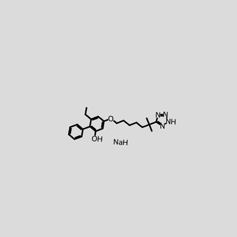 CCc1cc(OCCCCCC(C)(C)c2nn[nH]n2)cc(O)c1-c1ccccc1.[NaH]